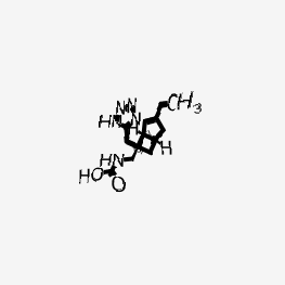 CCC1=C[C@@H]2[C@H](C1)C[C@]2(CNC(=O)O)Cc1nnn[nH]1